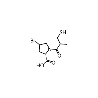 CC(CS)C(=O)N1CC(Br)C[C@H]1C(=O)O